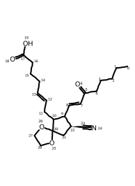 CCCCCC(=O)/C=C/C1C(C/C=C/CCCC(=O)O)C2(C[C@@H]1C#N)OCCO2